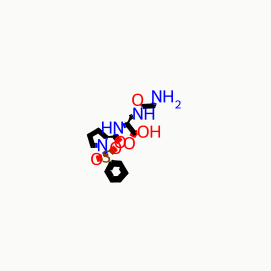 NCC(=O)NC[C@H](NC(=O)[C@@H]1CCCN1S(=O)(=O)c1ccccc1)C(=O)O